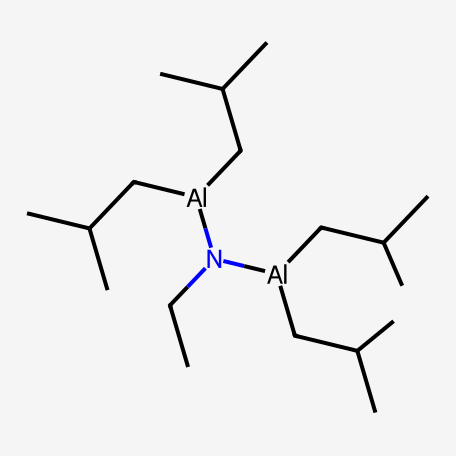 CC[N]([Al]([CH2]C(C)C)[CH2]C(C)C)[Al]([CH2]C(C)C)[CH2]C(C)C